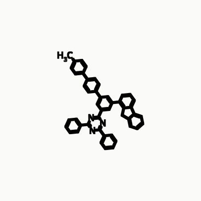 Cc1ccc(-c2ccc(-c3cc(-c4nc(-c5ccccc5)nc(-c5ccccc5)n4)cc(-c4cccc5c4Cc4ccccc4-5)c3)cc2)cc1